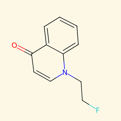 O=c1ccn(CCF)c2ccccc12